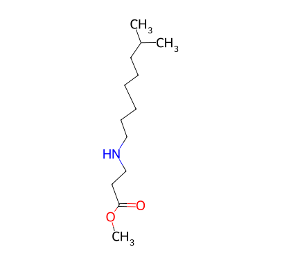 COC(=O)CCNCCCCCCC(C)C